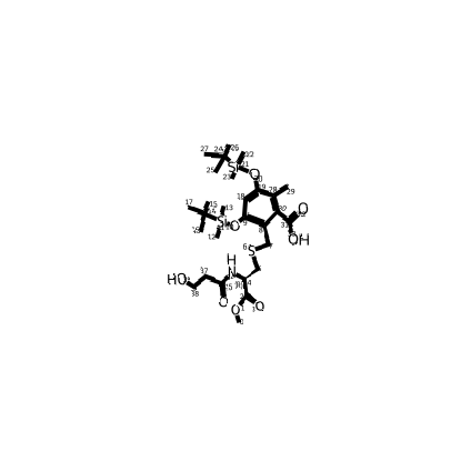 COC(=O)[C@H](CSCc1c(O[Si](C)(C)C(C)(C)C)cc(O[Si](C)(C)C(C)(C)C)c(C)c1C(=O)O)NC(=O)CCO